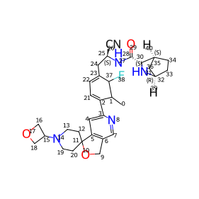 CC1C(c2cc3c(cn2)COC32CCN(C3COC3)CC2)=CC=C(C[C@@H](C#N)NC(=O)[C@H]2N[C@@H]3CC[C@H]2C3)C1F